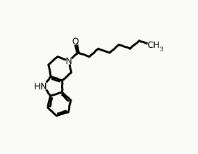 CCCCCCCC(=O)N1CCc2[nH]c3ccccc3c2C1